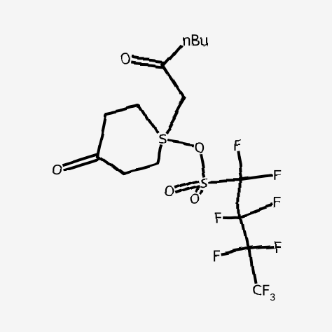 CCCCC(=O)CS1(OS(=O)(=O)C(F)(F)C(F)(F)C(F)(F)C(F)(F)F)CCC(=O)CC1